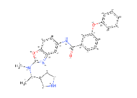 CC(C1CCNC1)N(C)c1nc2cc(NC(=O)c3cccc(Oc4ccccc4)c3)ccc2o1